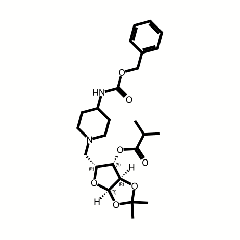 CC(C)C(=O)O[C@@H]1[C@H]2OC(C)(C)O[C@H]2O[C@@H]1CN1CCC(NC(=O)OCc2ccccc2)CC1